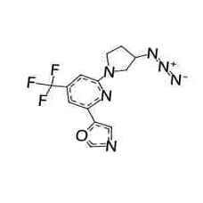 [N-]=[N+]=NC1CCN(c2cc(C(F)(F)F)cc(-c3cnco3)n2)C1